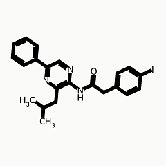 CC(C)Cc1nc(-c2ccccc2)cnc1NC(=O)Cc1ccc(I)cc1